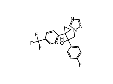 OC(Cn1cncn1)(c1ccc(F)cc1)C1(c2ccc(C(F)(F)F)cn2)CC1